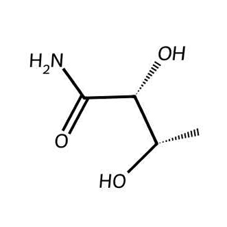 C[C@H](O)[C@@H](O)C(N)=O